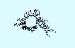 C=CC[C@@H]1/C=C(\C)C[C@H](C)C[C@H](OC)[C@H]2O[C@@](O)(C(=O)C(=O)N3CCCC[C@H]3C(=O)O[C@H](/C(C)=C/[C@@H]3CC[C@@H](OC(=O)CC(C)C)[C@H](OC)C3)[C@H](C)[C@@H](O)CC1=N)[C@H](C)C[C@@H]2OC